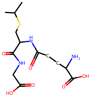 CC(C)SCC(NC(=O)CCC(N)C(=O)O)C(=O)NCC(=O)O